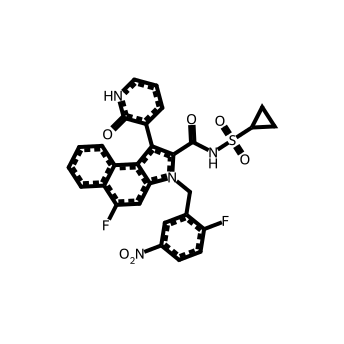 O=C(NS(=O)(=O)C1CC1)c1c(-c2ccc[nH]c2=O)c2c3ccccc3c(F)cc2n1Cc1cc([N+](=O)[O-])ccc1F